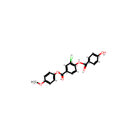 COc1ccc(OC(=O)c2ccc(OC(=O)c3ccc(O)cc3)c(Cl)c2)cc1